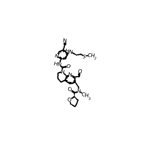 CSCCNc1cc(NC(=O)N2CCCc3cc(CN(C)C(=O)[C@H]4CCCO4)c(C=O)nc32)ncc1C#N